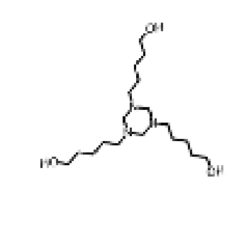 OCCCCCN1CN(CCCCCO)CN(CCCCCO)C1